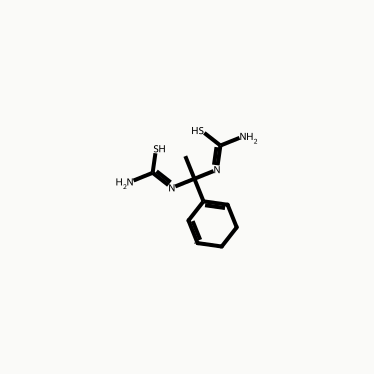 CC(N=C(N)S)(N=C(N)S)C1=CCC[C]=C1